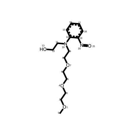 COCCOCCOCCN(CCO)c1ccccc1N=O